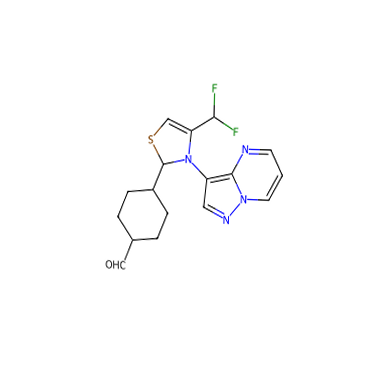 O=CC1CCC(C2SC=C(C(F)F)N2c2cnn3cccnc23)CC1